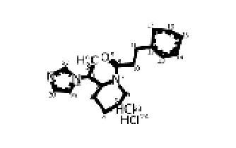 CC(C1CCCCN1C(=O)CCc1ccccc1)n1ccnc1.Cl.Cl